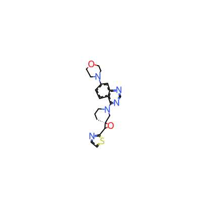 c1csc(C2O[C@@]23CCCN(c2ncnc4cc(N5CCOCC5)ccc24)C3)n1